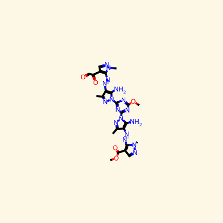 COC(=O)c1cnn(C)c1/N=N/c1c(C)nn(-c2nc(OC)nc(-n3nc(C)c(/N=N/c4c(C(=O)C=O)cnn4C)c3N)n2)c1N